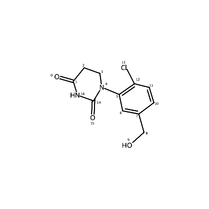 O=C1CCN(c2cc(CO)ccc2Cl)C(=O)N1